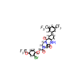 O=C1Nc2ccc(-c3cc(C(F)(F)F)cc(C(F)(F)F)c3)cc2C(=O)N2CCN(C(=O)COc3ccc(OC(F)(F)F)cc3Br)C[C@@H]12